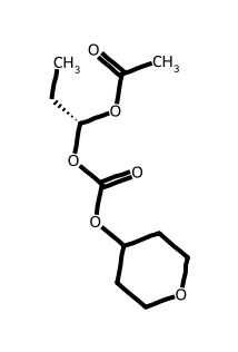 CC[C@H](OC(C)=O)OC(=O)OC1CCOCC1